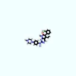 C=Cc1c(-c2ccccc2Cl)c(=O)n(C)c2nc(Nc3ccc(N4CCN(C)CC4)cc3)ncc12